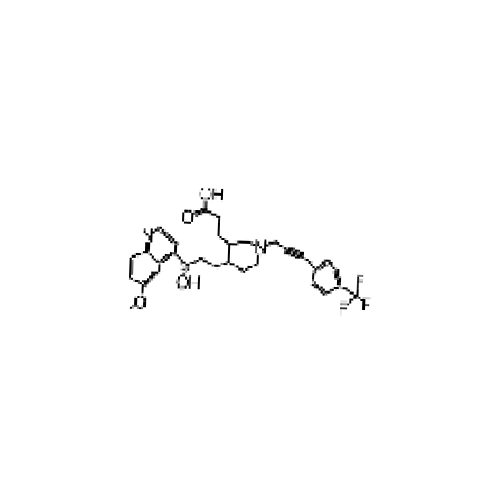 COc1ccc2nccc([C@@H](O)CCC3CCN(CC#Cc4ccc(C(F)(F)F)cc4)CC3CCC(=O)O)c2c1